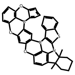 CC12CCCCC1(C)N1c3sc4ccccc4c3B3c4cc5c(cc4Oc4ccc2c1c43)Oc1cccc2c1B5c1ccccc1O2